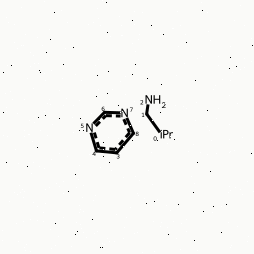 CC(C)CN.c1cncnc1